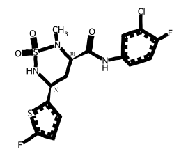 CN1[C@@H](C(=O)Nc2ccc(F)c(Cl)c2)C[C@@H](c2ccc(F)s2)NS1(=O)=O